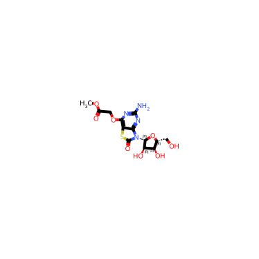 COC(=O)COc1nc(N)nc2c1sc(=O)n2[C@@H]1O[C@H](CO)[C@@H](O)[C@H]1O